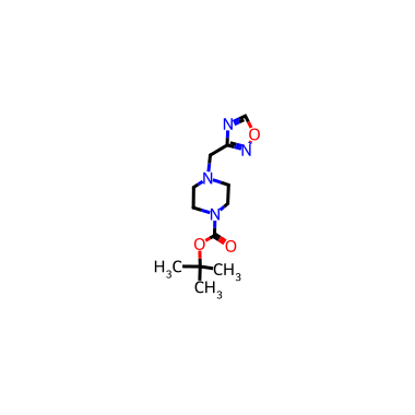 CC(C)(C)OC(=O)N1CCN(Cc2ncon2)CC1